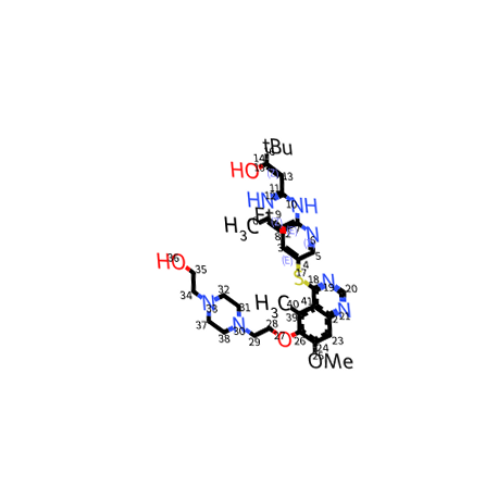 C\C=C/C=C(\C=N/C(=C/CC)NC(=N)/C=C(\O)C(C)(C)C)Sc1ncnc2cc(OC)c(OCCN3CCN(CCO)CC3)c(C)c12